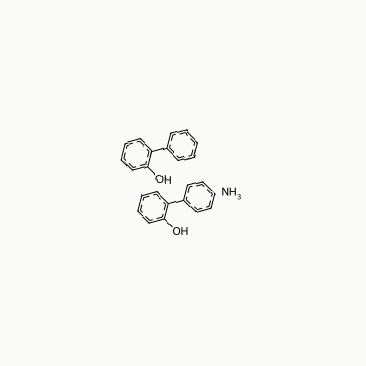 N.Oc1ccccc1-c1ccccc1.Oc1ccccc1-c1ccccc1